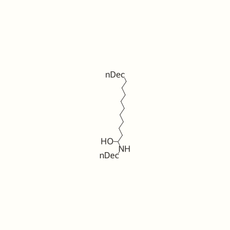 CCCCCCCCCCCCCCCCCCCC(O)NCCCCCCCCCC